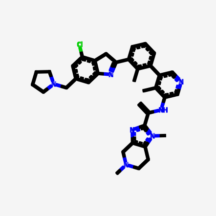 C=C(Nc1cncc(-c2cccc(C3=Nc4cc(CN5CCCC5)cc(Cl)c4C3)c2C)c1C)c1nc2c(n1C)CCN(C)C2